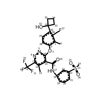 Cc1c(Oc2nnc(C(F)(F)F)c(C)c2C(=O)Nc2cccc(S(C)(=O)=O)c2)ccc(C2(O)CCC2)c1F